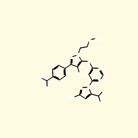 COCCn1nc(-c2ccc(C(F)F)cc2)c(C)c1Nc1cc(-n2nc(C)cc2C(F)F)ncn1